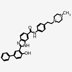 CN1CCN(CCc2ccc(NC(=O)c3ccc4nc(-c5cc(-c6ccccc6)ccc5O)[nH]c4c3)cc2)CC1